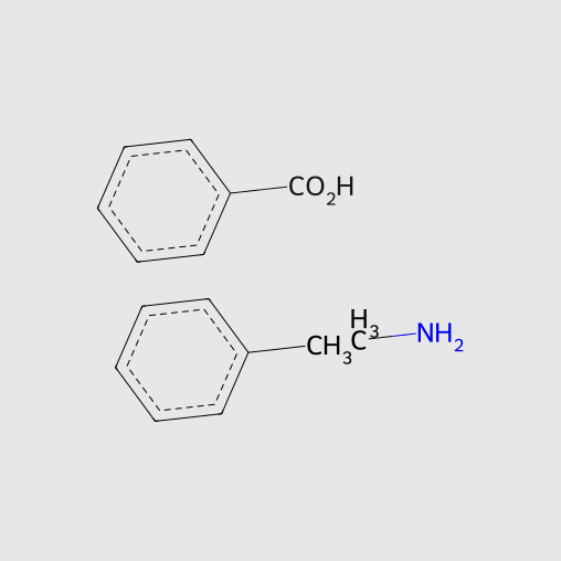 CN.Cc1ccccc1.O=C(O)c1ccccc1